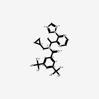 CC(c1nccnc1-n1cncn1)N(CC1CC1)C(=O)c1cc(C(F)(F)F)cc(C(F)(F)F)c1